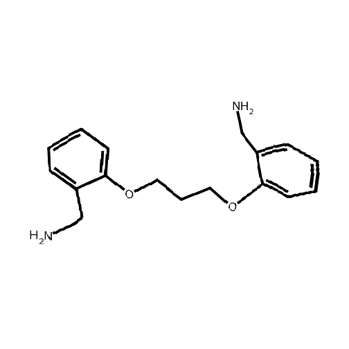 NCc1ccccc1OCCCOc1ccccc1CN